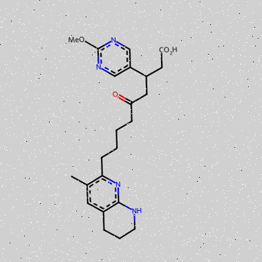 COc1ncc(C(CC(=O)O)CC(=O)CCCCc2nc3c(cc2C)CCCN3)cn1